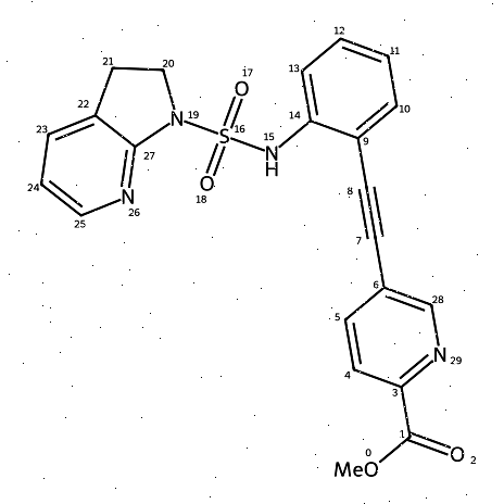 COC(=O)c1ccc(C#Cc2ccccc2NS(=O)(=O)N2CCc3cccnc32)cn1